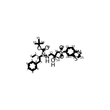 CC[C@@H](Cc1ccccc1)N(NC[C@@](C)(O)CS(=O)(=O)c1ccc2ncsc2c1)C(=O)OC(C)(C)C